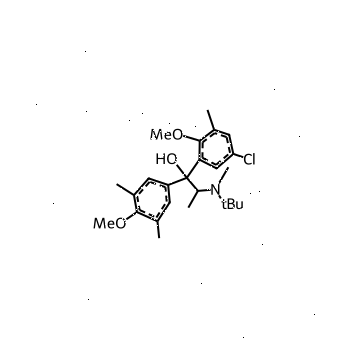 COc1c(C)cc(C(O)(c2cc(Cl)cc(C)c2OC)C(C)N(C)C(C)(C)C)cc1C